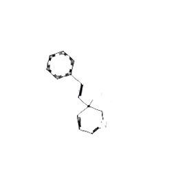 O=C(O)C1(/C=C/c2ccccc2)C=CC=NC1